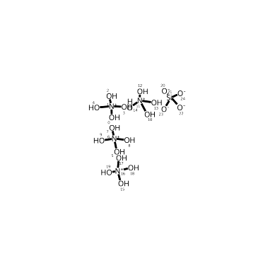 O[N+](O)(O)O.O[N+](O)(O)O.O[N+](O)(O)O.O[N+](O)(O)O.[O-][Si]([O-])([O-])[O-]